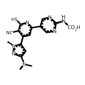 CN(C)c1cc(-c2cc(-c3cnc(NC(=O)O)nc3)nc(S)c2C#N)n(C)n1